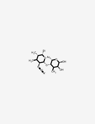 CC[C@@H]1O[C@H](O[C@H]2C(C)[C@H](O)[C@H](O)O[C@H]2C(C)=O)[C@@H](N=[N+]=[N-])C(C)[C@@H]1C